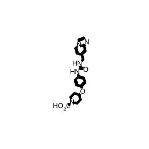 O=C(NCc1ccn2ccnc2c1)Nc1ccc(OC2CCN(C(=O)O)CC2)cc1